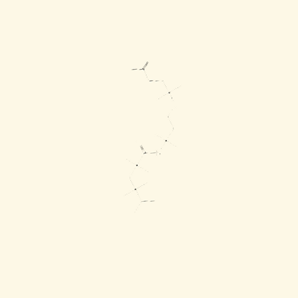 CC(=O)CCC(C)(C)OCCC(C)(C)NC(=O)C(C)(C)CC(C)(C)C(C)C